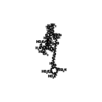 CCCC[C@H](NC(=O)CCC(=O)NCCCOCCOCCOCCCNC(=O)CN1CCN(CC(=O)O)CCN(CC(=O)O)CCN(CC(=O)O)CC1)C(=O)N[C@@H](CSC1=C(SC[C@H](NC(=O)[C@H](Cc2ccccc2)NC(=O)[C@H](CCC(N)=O)NC(=O)C[C@@H](C)O)C(=O)NCCC(=O)O)C(=O)NC1=O)C(=O)N1CCC[C@H]1C(=O)N1CCC[C@H]1C(N)=O